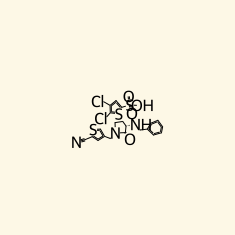 N#Cc1cc(CN2CC[C@H](NCc3ccccc3)C2=O)cs1.O=S(=O)(O)c1cc(Cl)c(Cl)s1